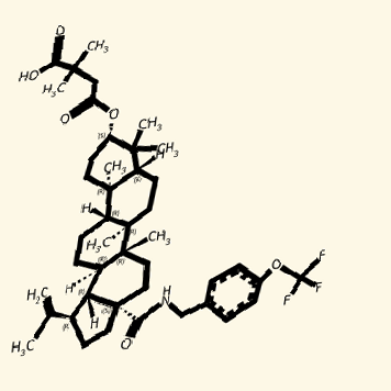 C=C(C)[C@@H]1CC[C@]2(C(=O)NCc3ccc(OC(F)(F)F)cc3)CC[C@]3(C)[C@H](CC[C@@H]4[C@@]5(C)CC[C@H](OC(=O)CC(C)(C)C(=O)O)C(C)(C)[C@@H]5CC[C@]43C)[C@@H]12